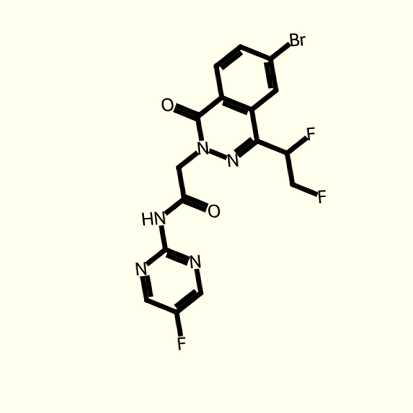 O=C(Cn1nc(C(F)CF)c2cc(Br)ccc2c1=O)Nc1ncc(F)cn1